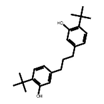 CC(C)(C)c1ccc(CCCc2ccc(C(C)(C)C)c(O)c2)cc1O